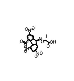 O=C(O)[C@@H](I)ON=C1c2cc([N+](=O)[O-])cc([N+](=O)[O-])c2-c2c1cc([N+](=O)[O-])cc2[N+](=O)[O-]